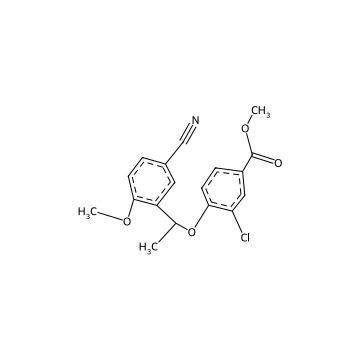 COC(=O)c1ccc(OC(C)c2cc(C#N)ccc2OC)c(Cl)c1